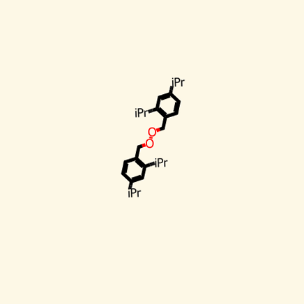 CC(C)c1ccc(COOCc2ccc(C(C)C)cc2C(C)C)c(C(C)C)c1